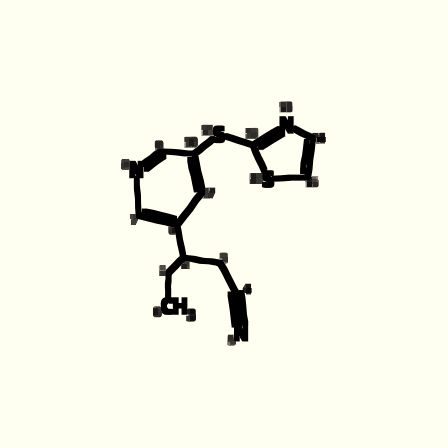 CCC(CC#N)c1cncc(Sc2nccs2)c1